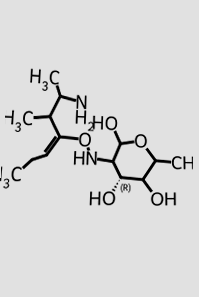 CCC=C(ONC1C(O)OC(C)C(O)[C@@H]1O)C(C)C(C)N